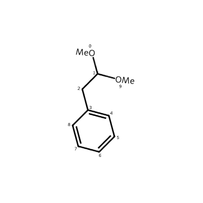 CO[C](Cc1ccccc1)OC